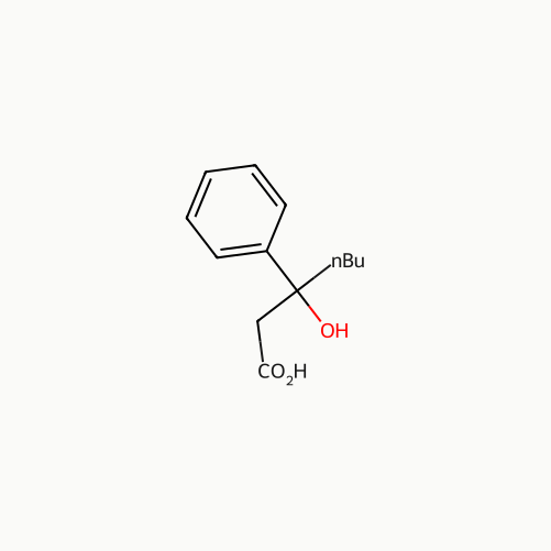 CCCCC(O)(CC(=O)O)c1ccccc1